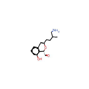 CC(CN)CCC1Cc2cccc(O)c2[C@@H](C=O)O1